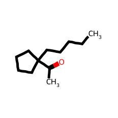 CCCCCC1(C(C)=O)CCCC1